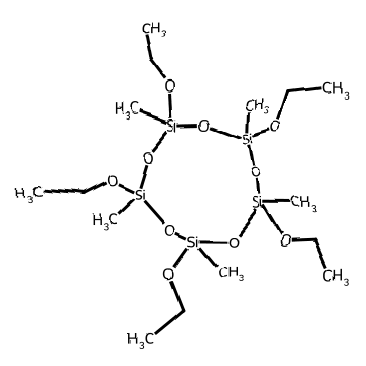 CCO[Si]1(C)O[Si](C)(OCC)O[Si](C)(OCC)O[Si](C)(OCC)O[Si](C)(OCC)O1